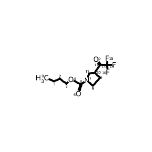 CCCCOC(=O)N1CCC(C(=O)C(F)(F)F)C1